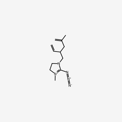 C=CC(CC(=C)C)CN1CC[N+](C)=C1N=[N+]=[N-]